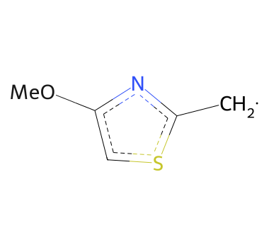 [CH2]c1nc(OC)cs1